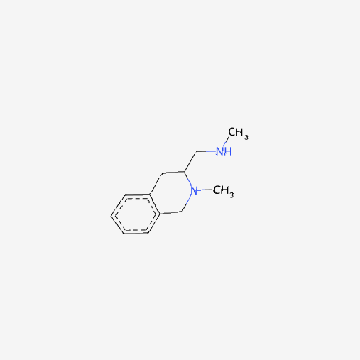 CNCC1Cc2ccccc2CN1C